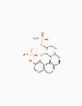 O=S(=O)(Oc1ccc2ccccc2c1Cc1c(OS(=O)(=O)C(F)(F)F)ccc2ccccc12)C(F)(F)F